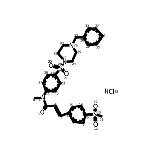 CN(C(=O)C=Cc1ccc(S(C)(=O)=O)cc1)c1ccc(S(=O)(=O)N2CCN(Cc3ccccc3)CC2)cc1.Cl